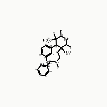 CC1NC(C)C(CCN(C)Cc2ccccc2)(C(=O)O)C(c2cccc([N+](=O)[O-])c2)C1(C)C(=O)O